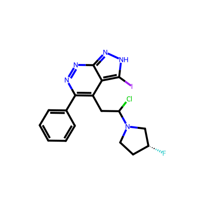 F[C@@H]1CCN(C(Cl)Cc2c(-c3ccccc3)nnc3n[nH]c(I)c23)C1